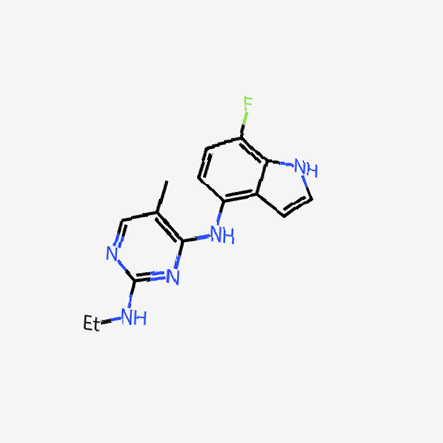 CCNc1ncc(C)c(Nc2ccc(F)c3[nH]ccc23)n1